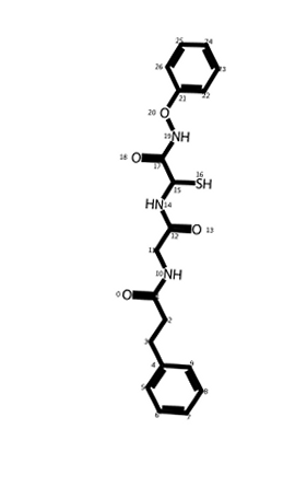 O=C(CCc1ccccc1)NCC(=O)NC(S)C(=O)NOc1ccccc1